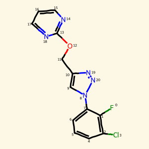 Fc1c(Cl)cccc1-n1cc(COc2ncccn2)nn1